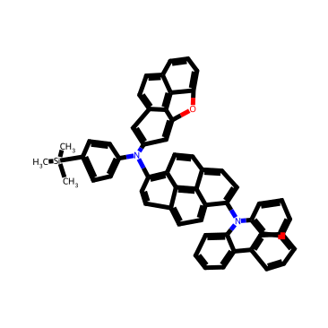 C[Si](C)(C)c1ccc(N(c2cc3ccc4cccc5oc(c2)c3c45)c2ccc3ccc4c(N(c5ccccc5)c5ccccc5-c5ccccc5)ccc5ccc2c3c54)cc1